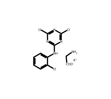 Clc1nc(Cl)nc(Nc2ccccc2Cl)n1.NCC(=O)[O-].[K+]